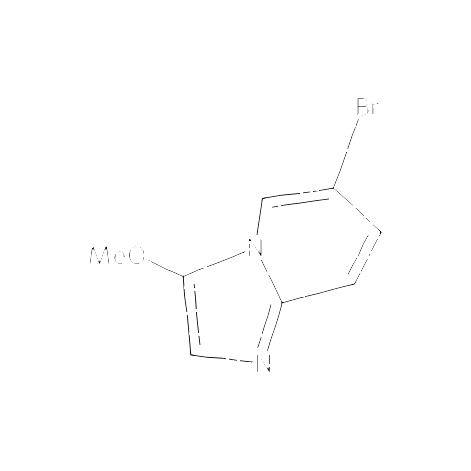 COc1cnc2ccc(Br)cn12